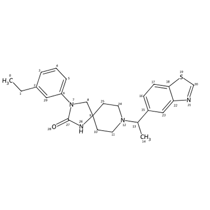 CCc1cccc(N2CC3(CCN(C(C)c4ccc5scnc5c4)CC3)NC2=O)c1